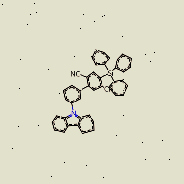 N#Cc1cc([Si](c2ccccc2)(c2ccccc2)c2ccccc2)c(C#N)cc1-c1cccc(-n2c3ccccc3c3ccccc32)c1